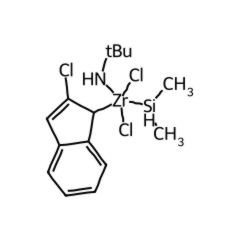 C[SiH](C)[Zr]([Cl])([Cl])([NH]C(C)(C)C)[CH]1C(Cl)=Cc2ccccc21